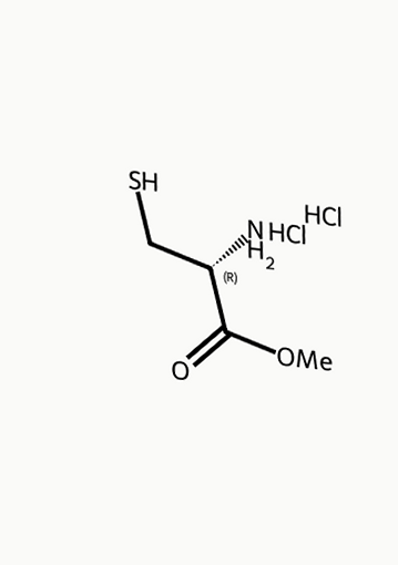 COC(=O)[C@@H](N)CS.Cl.Cl